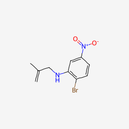 C=C(C)CNc1cc([N+](=O)[O-])ccc1Br